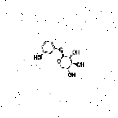 Oc1cccc(OC2OC[C@@H](O)[C@H](O)[C@H]2O)c1